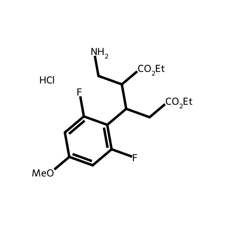 CCOC(=O)CC(c1c(F)cc(OC)cc1F)C(CN)C(=O)OCC.Cl